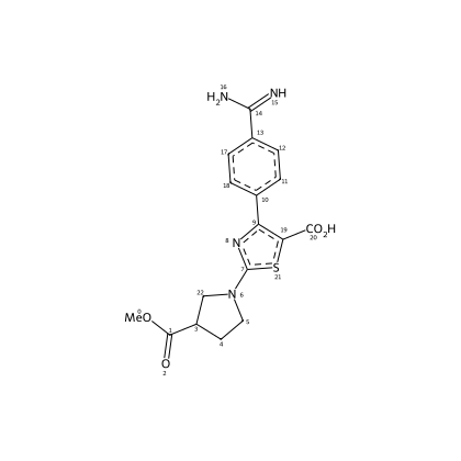 COC(=O)C1CCN(c2nc(-c3ccc(C(=N)N)cc3)c(C(=O)O)s2)C1